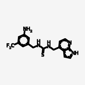 Nc1cc(CNC(=S)NCc2ccnc3[nH]ccc23)cc(C(F)(F)F)c1